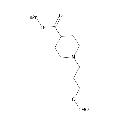 CCCOC(=O)C1CCN(CCCOC=O)CC1